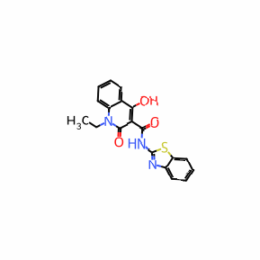 CCn1c(=O)c(C(=O)Nc2nc3ccccc3s2)c(O)c2ccccc21